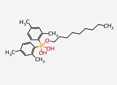 CCCCCCCCCOP(O)(O)(c1ccc(C)cc1C)c1ccc(C)cc1C